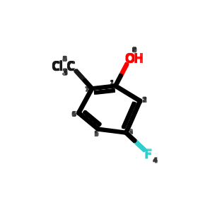 Oc1cc(F)ccc1C(Cl)(Cl)Cl